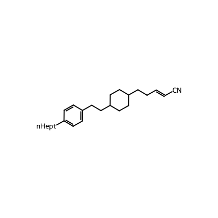 CCCCCCCc1ccc(CCC2CCC(CCC=CC#N)CC2)cc1